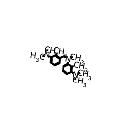 Cc1c(CN(C)c2cccc(N(C)C)c2C)cccc1N(C)C